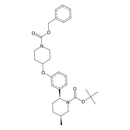 C[C@H]1CC[C@@H](c2cccc(OC3CCN(C(=O)OCc4ccccc4)CC3)c2)N(C(=O)OC(C)(C)C)C1